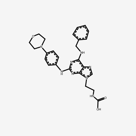 O=C(O)NCCn1cnc2c(NCc3ccccc3)nc(Nc3ccc(N4CCOCC4)cc3)nc21